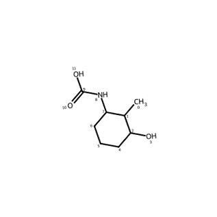 CC1C(O)CCCC1NC(=O)O